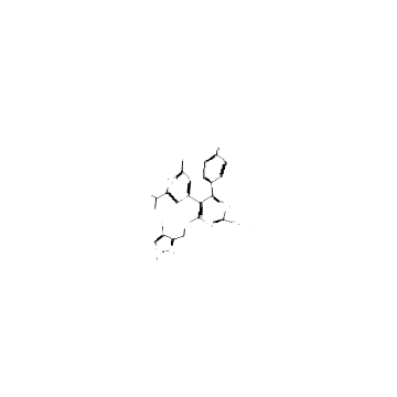 Cc1cc(-c2c(OCc3nn(C)cc3C(C)C)nc(N)nc2-c2ccc(F)cc2)cc(C(F)F)n1